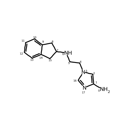 Nc1cn(CCNC2Cc3ccccc3C2)cn1